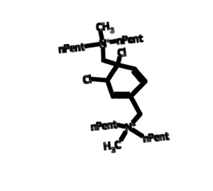 CCCCC[N+](C)(CCCCC)CC1=CC(Cl)C(Cl)(C[N+](C)(CCCCC)CCCCC)C=C1